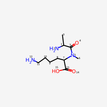 CC(N)C(=O)N(C)C(CCCCN)C(=O)O